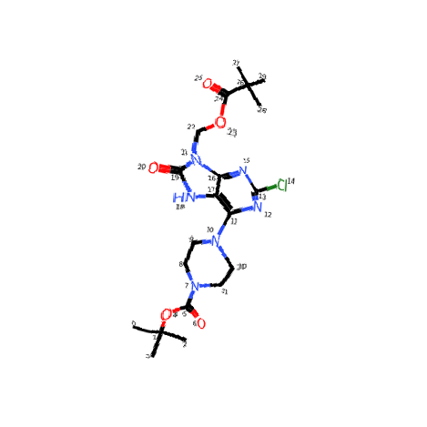 CC(C)(C)OC(=O)N1CCN(c2nc(Cl)nc3c2[nH]c(=O)n3COC(=O)C(C)(C)C)CC1